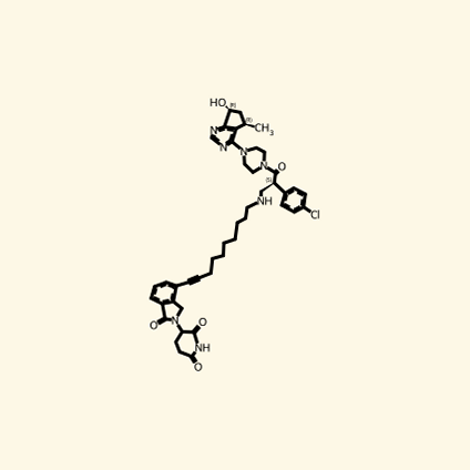 C[C@@H]1C[C@@H](O)c2ncnc(N3CCN(C(=O)[C@H](CNCCCCCCCCC#Cc4cccc5c4CN(C4CCC(=O)NC4=O)C5=O)c4ccc(Cl)cc4)CC3)c21